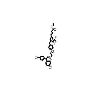 CCOC(=O)CCCCCC(Cc1ccc(OCCN(C)CC(c2ccc(Cl)cc2)c2ccc(Cl)cc2)cc1)C(=O)C(F)(F)F